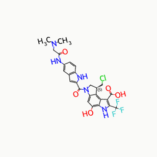 CN(C)CC(=O)Nc1ccc2[nH]c(C(=O)N3C[C@@H](CCl)c4c3cc(O)c3[nH]c(C(F)(F)F)c(C(=O)O)c43)cc2c1